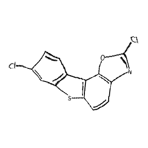 Clc1ccc2c(c1)sc1ccc3nc(Cl)oc3c12